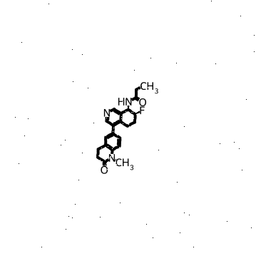 CCC(=O)N[C@@H]1c2cncc(-c3ccc4c(c3)CCC(=O)N4C)c2CC[C@@H]1F